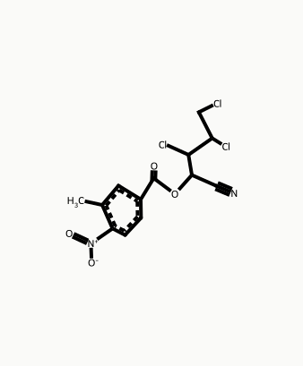 Cc1cc(C(=O)OC(C#N)C(Cl)C(Cl)CCl)ccc1[N+](=O)[O-]